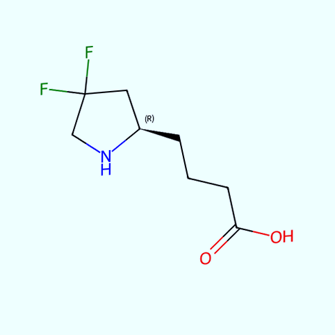 O=C(O)CCC[C@@H]1CC(F)(F)CN1